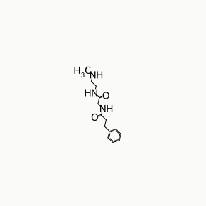 CNCCNC(=O)CNC(=O)CCc1ccccc1